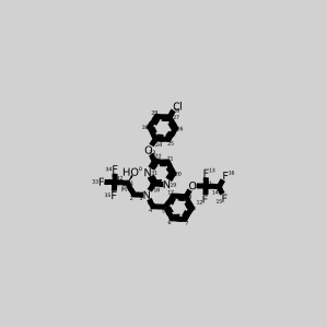 O[C@H](CN(Cc1cccc(OC(F)(F)C(F)F)c1)c1nccc(Oc2ccc(Cl)cc2)n1)C(F)(F)F